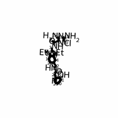 CCn1c(CNC(=O)c2nc(Cl)c(N)nc2N)[n+](CC)c2ccc(CNC(=O)Cc3ncccc3O)cc21